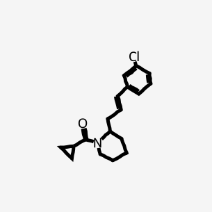 O=C(C1CC1)N1CCCCC1CC=Cc1cccc(Cl)c1